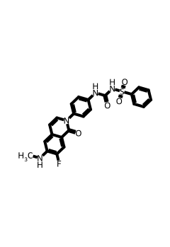 CNc1cc2ccn(-c3ccc(NC(=O)NS(=O)(=O)c4ccccc4)cc3)c(=O)c2cc1F